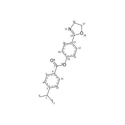 CC(I)c1ccc(C(=O)Oc2ccc(C3=NCCO3)cc2)cc1